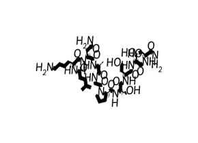 CC(C)CCC(=O)N[C@@H](CCCCN)C(=O)N[C@@H](CC(N)=O)C(=O)N[C@H](C)C(=O)NCC(=O)N1CCC[C@H]1C(=O)N[C@@H](CO)C(=O)N[C@@H](CCO)C(=O)N[C@@H](CO)C(=O)N[C@@H](CO)C(N)=O